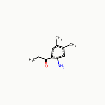 CCC(=O)c1cc(C)c(C)cc1N